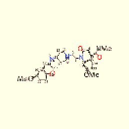 CNC(=O)c1cc(=O)n(CCN2CCC(N(C)C3=Cc4cc(OC)ccc4OC3)CC2)c2cc(OC)ccc12